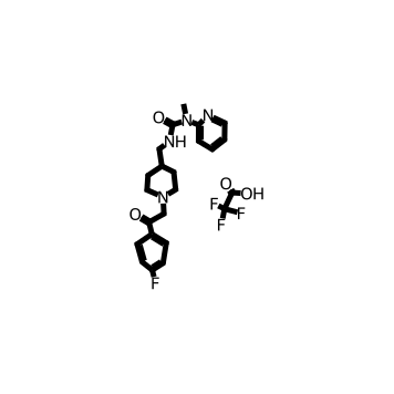 CN(C(=O)NCC1CCN(CC(=O)c2ccc(F)cc2)CC1)c1ccccn1.O=C(O)C(F)(F)F